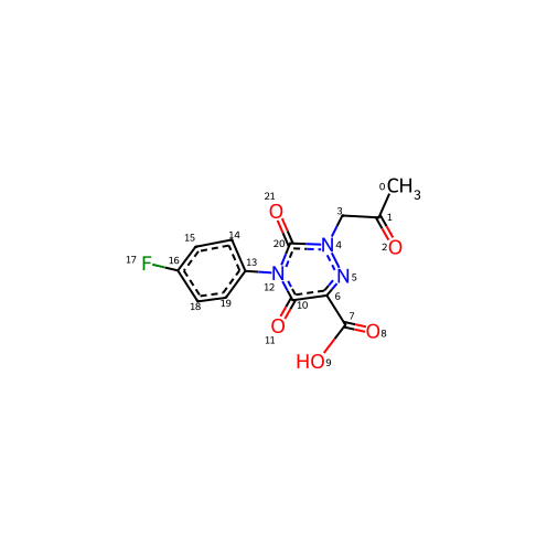 CC(=O)Cn1nc(C(=O)O)c(=O)n(-c2ccc(F)cc2)c1=O